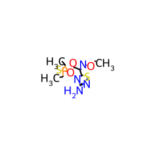 CCO/N=C(/C(=O)OP(=S)(CC)CC)c1nc(N)ns1